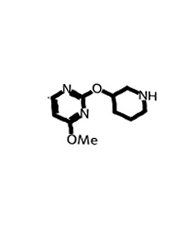 COc1c[c]nc(OC2CCCNC2)n1